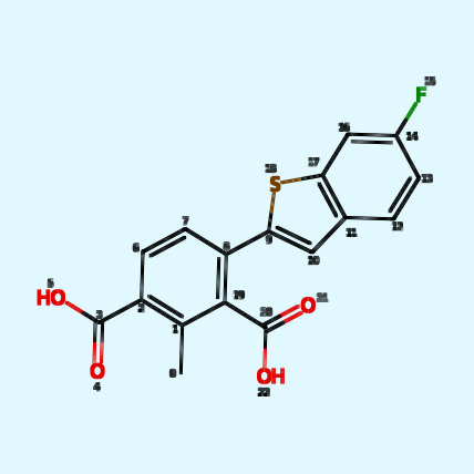 Cc1c(C(=O)O)ccc(-c2cc3ccc(F)cc3s2)c1C(=O)O